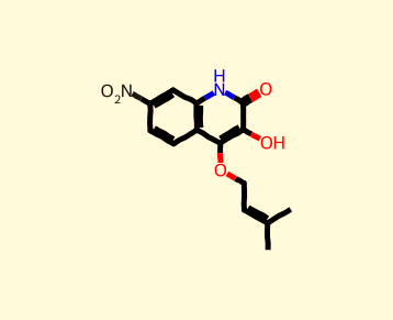 CC(C)=CCOc1c(O)c(=O)[nH]c2cc([N+](=O)[O-])ccc12